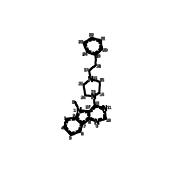 Cn1c2ccccc2c2ncnc(N3CCN(CCc4ccccc4)CC3)c21